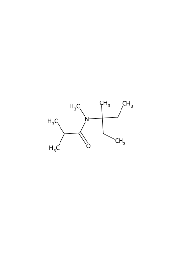 CCC(C)(CC)N(C)C(=O)C(C)C